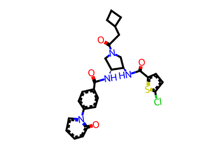 O=C(N[C@@H]1CN(C(=O)CC2CCC2)C[C@H]1NC(=O)c1ccc(Cl)s1)c1ccc(-n2ccccc2=O)cc1